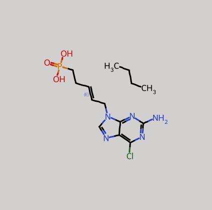 CCCC.Nc1nc(Cl)c2ncn(C/C=C/CCP(=O)(O)O)c2n1